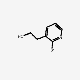 OCCc1cccnc1Br